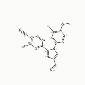 COc1ccc(-n2cc(C=O)nc2-c2ccc(C#N)c(F)c2)cc1C